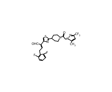 Cc1cc(C(F)(F)F)nn1CC(=O)N1CCC(c2nc(C(C=O)=CCc3c(F)cccc3F)cs2)CC1